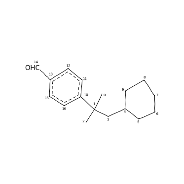 CC(C)(CC1CCCCC1)c1ccc(C=O)cc1